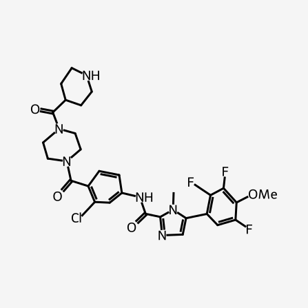 COc1c(F)cc(-c2cnc(C(=O)Nc3ccc(C(=O)N4CCN(C(=O)C5CCNCC5)CC4)c(Cl)c3)n2C)c(F)c1F